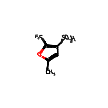 Cc1cc(S(=O)(=O)O)c(C(F)(F)F)o1